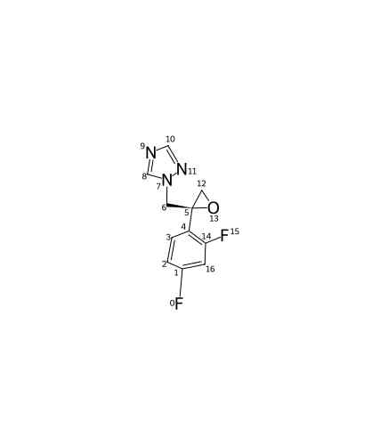 Fc1ccc([C@]2(Cn3cncn3)CO2)c(F)c1